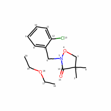 CC1(C)CON(Cc2ccccc2Cl)C1=O.CCOCC